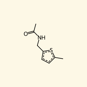 CC(=O)NCc1ccc(C)s1